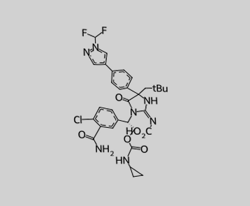 CC(C)(C)CC1(c2ccc(-c3cnn(C(F)F)c3)cc2)NC(=NC(=O)O)N([C@H](COC(=O)NC2CC2)c2ccc(Cl)c(C(N)=O)c2)C1=O